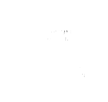 Cl.O=C(C[C@H](C(=O)O)n1ccc(-c2ccc(-c3ccncc3)cc2)c1)OCc1ccccc1